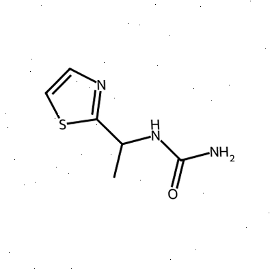 CC(NC(N)=O)c1nccs1